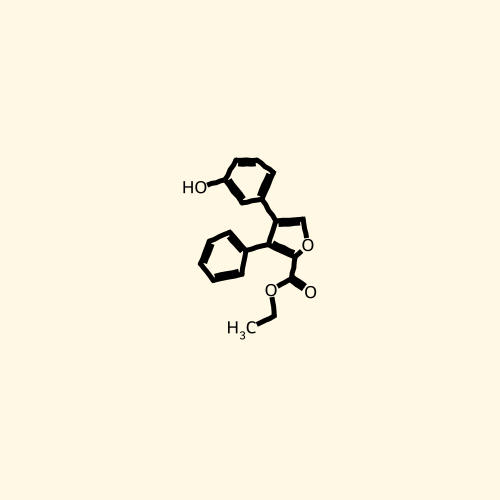 CCOC(=O)c1occ(-c2cccc(O)c2)c1-c1ccccc1